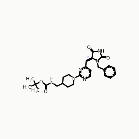 CC(C)(C)OC(=O)NCC1CCN(c2nccc(/C=C3/C(=O)NC(=O)N3Cc3ccccc3)n2)CC1